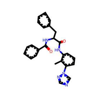 Cc1c(NC(=O)C(Cc2ccccc2)NC(=O)c2ccccc2)cccc1-n1cncn1